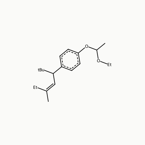 CCOC(C)Oc1ccc(C(/C=C(/C)CC)C(C)(C)C)cc1